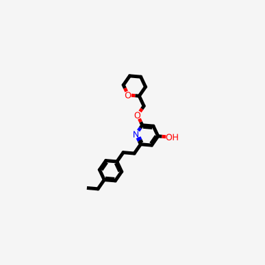 CCc1ccc(CCc2cc(O)cc(OCC3CCCCO3)n2)cc1